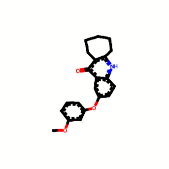 COc1cccc(Oc2ccc3[nH]c4c(c(=O)c3c2)CCCCC4)c1